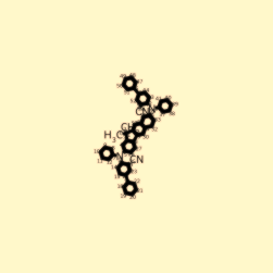 CC1(C)c2cc(N(c3ccccc3)c3ccc(-c4ccccc4)cc3C#N)ccc2-c2cc3ccc(N(c4ccccc4)c4ccc(-c5ccccc5)cc4C#N)cc3cc21